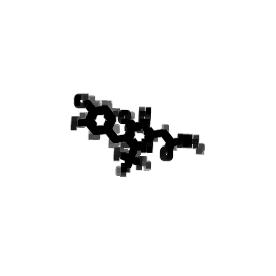 NC(=O)Cc1nc(C(F)(F)F)c(Cc2ccc(Cl)c(F)c2)c(=O)[nH]1